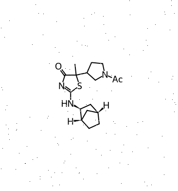 CC(=O)N1CCC(C2(C)SC(N[C@H]3C[C@@H]4CC[C@H]3C4)=NC2=O)C1